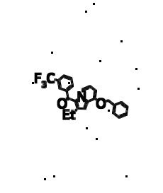 CCc1cc2c(OCc3ccccc3)cccn2c1C(=O)c1cccc(C(F)(F)F)c1